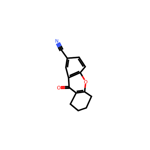 N#Cc1ccc2oc3c(c(=O)c2c1)CCCC3